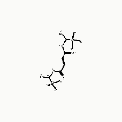 CCC(OC(=O)C=CC(=O)OC(CC)[Si](C)(C)C)[Si](C)(C)C